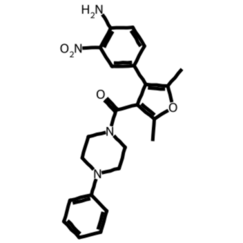 Cc1oc(C)c(-c2ccc(N)c([N+](=O)[O-])c2)c1C(=O)N1CCN(c2ccccc2)CC1